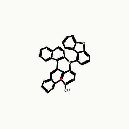 Cc1ccc(N(c2ccc3ccccc3c2-c2ccc3ccccc3c2)c2cccc3oc4ccccc4c23)cc1